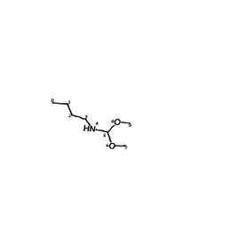 CCCCNC(OC)OC